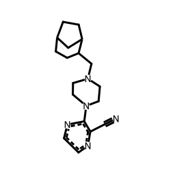 N#Cc1nccnc1N1CCN(CC2CCC3CCC2C3)CC1